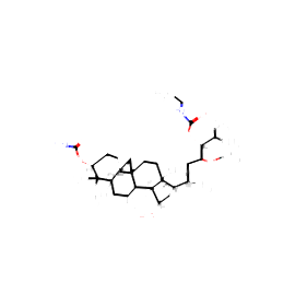 CCNC(=O)O[C@H](C(C)C)C(C[C@@H](C)[C@H]1C[C@H](O)[C@@]2(C)C3CC[C@H]4C(C)(C)[C@@H](OC(N)=O)CC[C@@]45CC35CC[C@]12C)OC